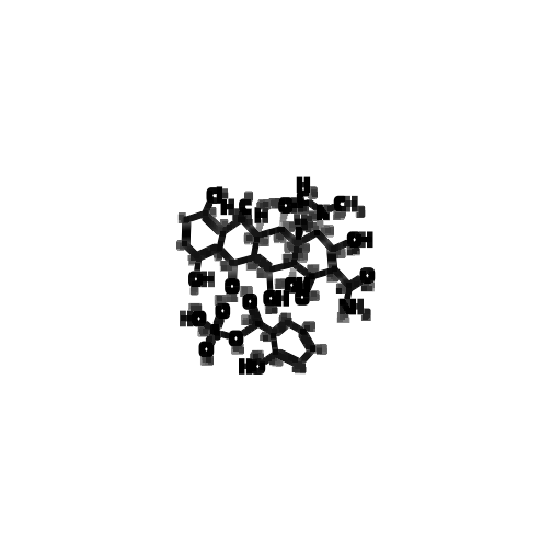 C=C1c2c(Cl)ccc(O)c2C(=O)C2=C(O)[C@]3(O)C(=O)C(C(N)=O)=C(O)[C@@H](N(C)C)[C@H]3[C@@H](O)[C@H]12.O=C(OS(=O)(=O)O)c1ccccc1O